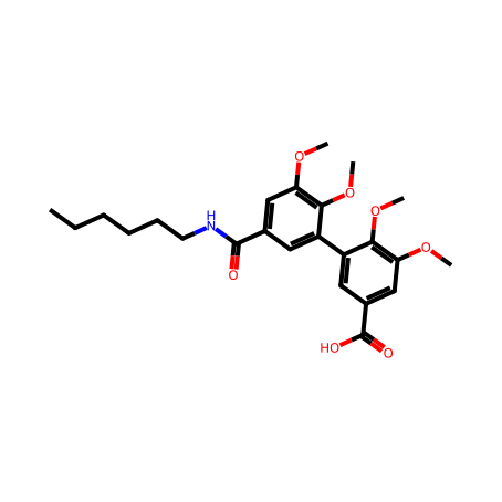 CCCCCCNC(=O)c1cc(OC)c(OC)c(-c2cc(C(=O)O)cc(OC)c2OC)c1